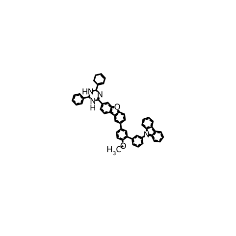 COc1ccc(-c2ccc3oc4cc(C5=NC(C6=CC=CCC6)NC(c6ccccc6)N5)ccc4c3c2)cc1-c1cccc(-n2c3ccccc3c3ccccc32)c1